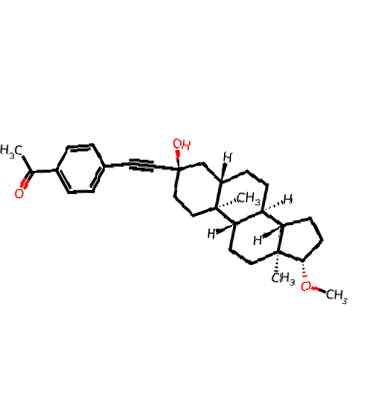 CO[C@H]1CC[C@H]2[C@@H]3CC[C@H]4C[C@@](O)(C#Cc5ccc(C(C)=O)cc5)CC[C@]4(C)[C@H]3CC[C@]12C